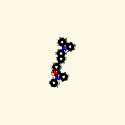 c1ccc(-n2c3ccccc3c3c4cc(-c5ccc6cc(-n7c8ccccc8c8ccccc87)ccc6c5)ccc4oc32)cc1